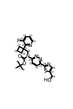 CC(C)(C)OC(=O)N(CC1(c2ncccc2F)CCC1)c1ccc(-c2ncc(CO)s2)nn1